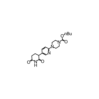 CCCCOC(=O)N1CCN(c2ccc(C3CCC(=O)NC3=O)cn2)CC1